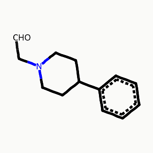 O=CCN1CCC(c2ccccc2)CC1